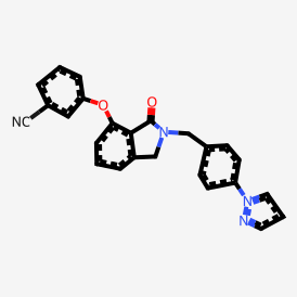 N#Cc1cccc(Oc2cccc3c2C(=O)N(Cc2ccc(-n4cccn4)cc2)C3)c1